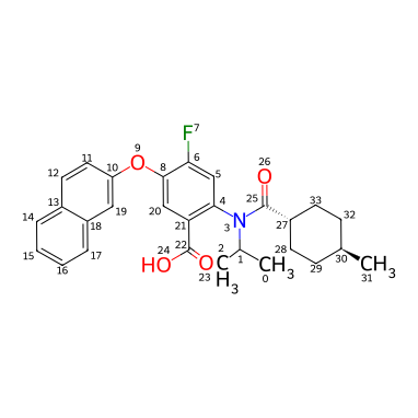 CC(C)N(c1cc(F)c(Oc2ccc3ccccc3c2)cc1C(=O)O)C(=O)[C@H]1CC[C@H](C)CC1